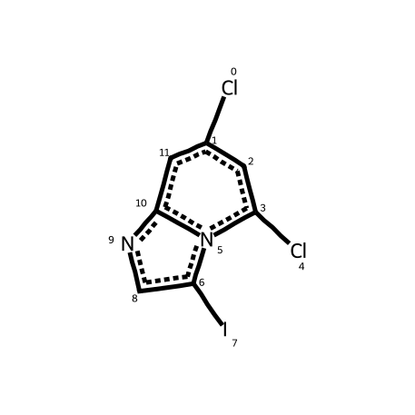 Clc1cc(Cl)n2c(I)cnc2c1